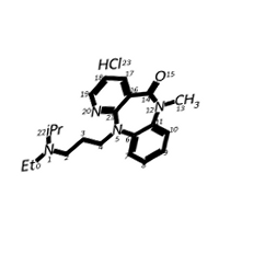 CCN(CCCN1c2ccccc2N(C)C(=O)c2cccnc21)C(C)C.Cl